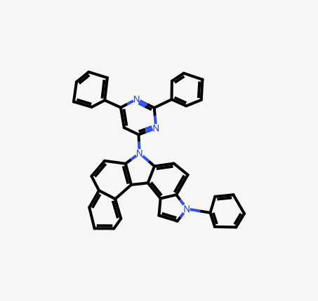 c1ccc(-c2cc(-n3c4ccc5ccccc5c4c4c5ccn(-c6ccccc6)c5ccc43)nc(-c3ccccc3)n2)cc1